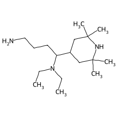 CCN(CC)C(CCCN)C1CC(C)(C)NC(C)(C)C1